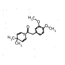 COc1ccc(CC(=O)N2C=CC(C)(C)C=C2)cc1OC